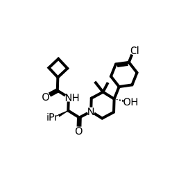 CC(C)[C@@H](NC(=O)C1CCC1)C(=O)N1CC[C@](O)(C2CC=C(Cl)CC2)C(C)(C)C1